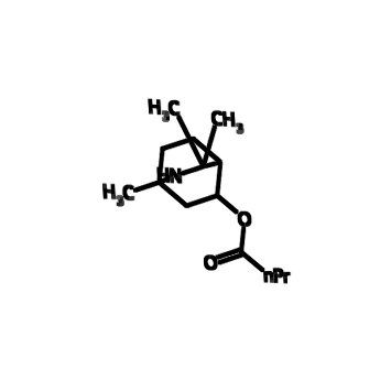 CCCC(=O)OC1CC2(C)CCC1C(C)(C)N2